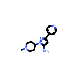 CN1CCC(n2nc(-c3ccncc3)cc2N)CC1